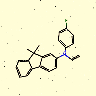 C=CN(c1ccc(F)cc1)c1ccc2c(c1)C(C)(C)c1ccccc1-2